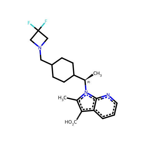 Cc1c(C(=O)O)c2cccnc2n1[C@H](C)C1CCC(CN2CC(F)(F)C2)CC1